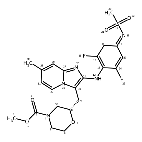 COC(=O)N1CCO[C@@H](Cc2c(NC3=C(F)CC(=NS(C)(=O)=O)C=C3F)nc3cc(C)ccn23)C1